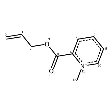 C=CCOC(=O)c1cccc[n+]1C